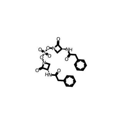 O=C(Cc1ccccc1)N[C@H]1CN(OS(=O)(=O)ON2C[C@H](NC(=O)Cc3ccccc3)C2=O)C1=O